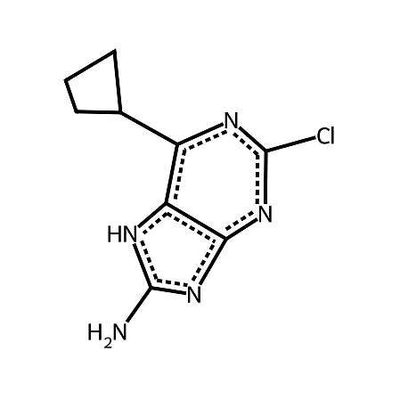 Nc1nc2nc(Cl)nc(C3CCC3)c2[nH]1